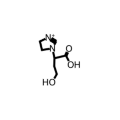 O=C(O)C(CCO)N1C#[N+]CC1